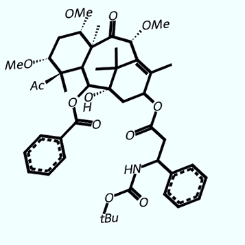 CO[C@H]1C(=O)[C@@]2(C)C(C(OC(=O)c3ccccc3)[C@]3(O)CC(OC(=O)CC(NC(=O)OC(C)(C)C)c4ccccc4)C(C)=C1C3(C)C)[C@@](C)(C(C)=O)[C@H](OC)C[C@@H]2OC